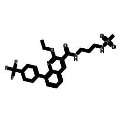 CCOc1nc2c(C3=CCC(C(F)(F)F)CC3)cccc2cc1C(=O)NCCCNS(C)(=O)=O